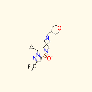 [O-][S+](c1cc(C(F)(F)F)nn1CC1CC1)N1CC2(CN(CC3CCOCC3)C2)C1